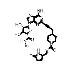 CCNC(=O)[C@H]1O[C@@H](n2cnc3c(N)nc(C#CCC4CCN(C(=O)OCC5CCC(=O)N5)CC4)nc32)[C@@H](O)C1O